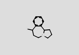 IC1CCN2CCCC2c2ccccc21